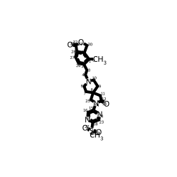 Cc1c(CCN2CCC3(CC2)CC(=O)N(c2cnc(S(C)(=O)=O)cn2)C3)ccc2c1COC2=O